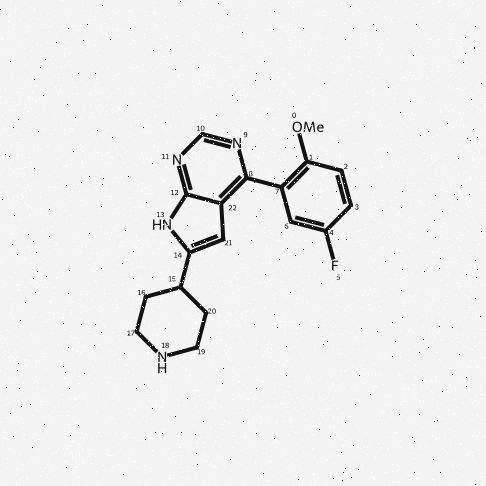 COc1ccc(F)cc1-c1ncnc2[nH]c(C3CCNCC3)cc12